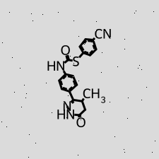 CC1CC(=O)NN=C1c1ccc(NC(=O)Sc2ccc(C#N)cc2)cc1